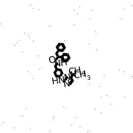 CN(C)c1ccnc(NC2CCC(CNC(=O)C(Cc3ccccc3)c3ccccc3)CC2)n1